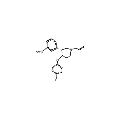 C=CCN1CC[C@@H](Oc2ccc(F)cc2)[C@H](c2cccc(OC)c2)C1